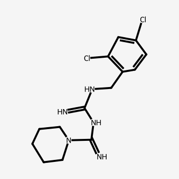 N=C(NCc1ccc(Cl)cc1Cl)NC(=N)N1CCCCC1